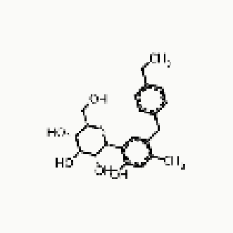 CCc1ccc(Cc2cc([C@@H]3S[C@H](CO)[C@@H](O)[C@H](O)[C@H]3O)c(O)cc2C)cc1